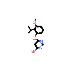 COc1cccc(Oc2cc(Br)ncn2)c1C(C)C